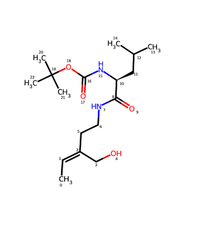 C/C=C(\CO)CCNC(=O)[C@H](CC(C)C)NC(=O)OC(C)(C)C